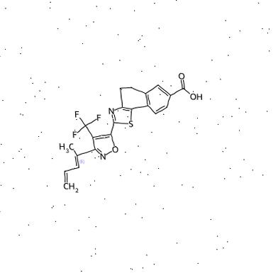 C=C/C=C(\C)c1noc(-c2nc3c(s2)-c2ccc(C(=O)O)cc2CC3)c1C(F)(F)F